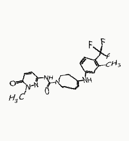 Cc1cc(NC2CCN(C(=O)Nc3ccc(=O)n(C)n3)CC2)ccc1C(F)(F)F